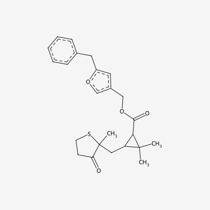 CC1(CC2C(C(=O)OCc3coc(Cc4ccccc4)c3)C2(C)C)SCCC1=O